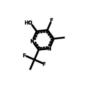 Cc1nc(C(C)(F)F)nc(O)c1F